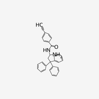 C#Cc1ccc(C(=O)NC(N)CC(c2ccccc2)(c2ccccc2)c2ccccc2)cc1